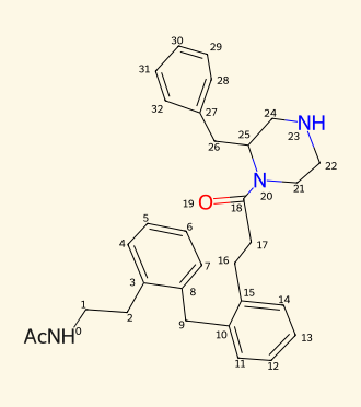 CC(=O)NCCc1ccccc1Cc1ccccc1CCC(=O)N1CCNCC1Cc1ccccc1